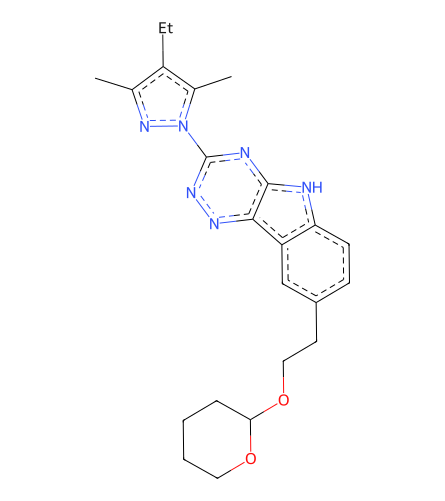 CCc1c(C)nn(-c2nnc3c(n2)[nH]c2ccc(CCOC4CCCCO4)cc23)c1C